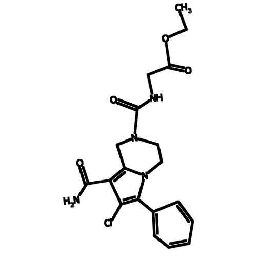 CCOC(=O)CNC(=O)N1CCn2c(c(C(N)=O)c(Cl)c2-c2ccccc2)C1